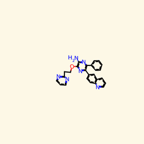 Nc1nc(-c2ccccc2)c(-c2ccc3ncccc3c2)nc1OCCc1ncccn1